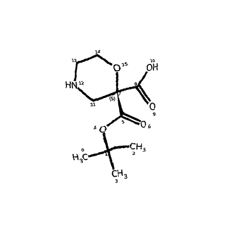 CC(C)(C)OC(=O)[C@@]1(C(=O)O)CNCCO1